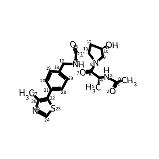 CC(=O)N[C@@H](C)C(=O)N1C[C@H](O)C[C@H]1C(=O)NCc1ccc(-c2scnc2C)cc1